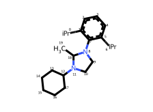 CC(C)c1cccc(C(C)C)c1N1CCN(C2CCCCC2)C1C